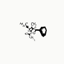 CC[C@H]1OC(OC(C)=O)C(OC(=O)c2ccccc2)[C@H]1C